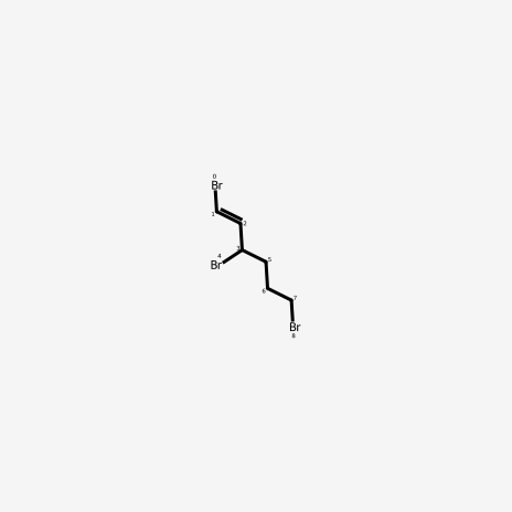 BrC=CC(Br)CCCBr